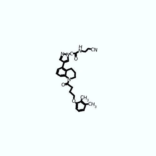 Cc1cccc(OCCCC(=O)N2CCCc3c(-c4cnn(CC(=O)NCCC#N)c4)cccc32)c1C